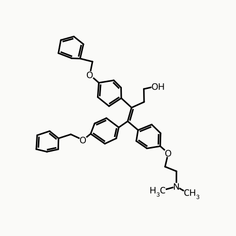 CN(C)CCOc1ccc(/C(=C(\CCO)c2ccc(OCc3ccccc3)cc2)c2ccc(OCc3ccccc3)cc2)cc1